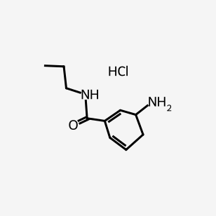 CCCNC(=O)C1=CC(N)CC=C1.Cl